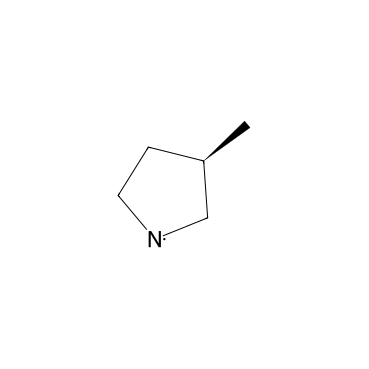 C[C@@H]1CC[N]C1